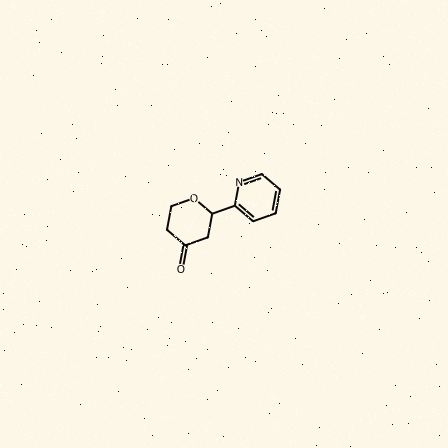 O=C1CCOC(c2ccccn2)C1